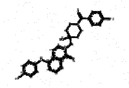 O=C(c1ccc(F)cc1)N1CCC(O)(Cn2cnc3c(Oc4ccc(F)cc4)cccc3c2=O)CC1